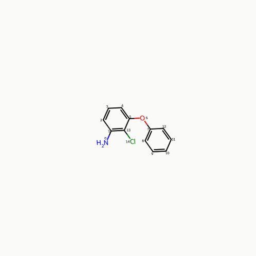 Nc1cccc(Oc2ccccc2)c1Cl